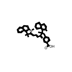 C=C(/C=C/C=C1\N(C)c2ccc3ccccc3c2C1(C)C)C(C)(Cc1ccc(C(=O)O)cc1)c1c(C)ccc2ccccc12